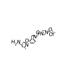 Cc1cc(CN)cc(Oc2cccc3c2ccn3CC(=O)N2CCN(C(=O)OC(C)(C)C)CC2)n1